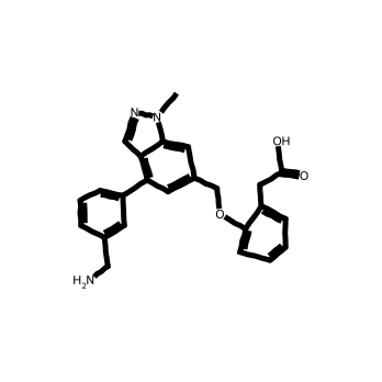 Cn1ncc2c(-c3cccc(CN)c3)cc(COc3ccccc3CC(=O)O)cc21